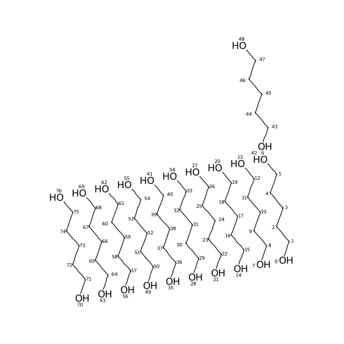 OCCCCCO.OCCCCCO.OCCCCCO.OCCCCCO.OCCCCCO.OCCCCCO.OCCCCCO.OCCCCCO.OCCCCCO.OCCCCCO.OCCCCCO